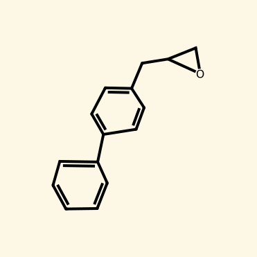 c1ccc(-c2ccc(CC3CO3)cc2)cc1